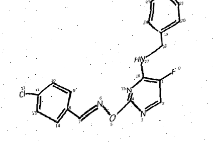 Fc1cnc(ON=Cc2ccc(Cl)cc2)nc1NCc1ccccc1